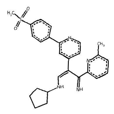 Cc1cccc(C(=N)/C(=C\NC2CCCC2)c2ccnc(-c3ccc(S(C)(=O)=O)cc3)c2)n1